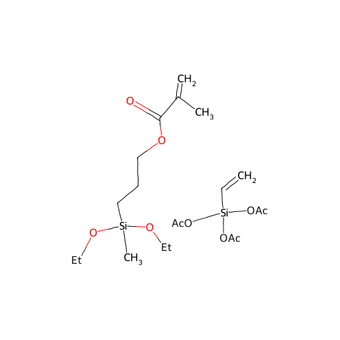 C=C(C)C(=O)OCCC[Si](C)(OCC)OCC.C=C[Si](OC(C)=O)(OC(C)=O)OC(C)=O